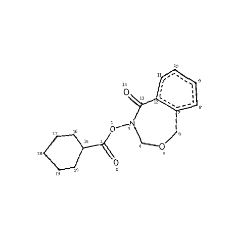 O=C(ON1COCc2ccccc2C1=O)C1CCCCC1